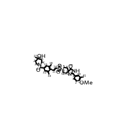 COc1ccc(C2=NC3(CCN(S(=O)(=O)C=Cc4c(C)cc(C(=O)N5CCC(C)(O)CC5)cc4C)CC3)C(=O)N2)cc1C